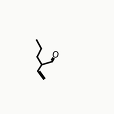 C=CC(C=O)CCC